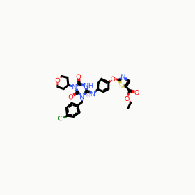 CCOC(=O)c1cnc(OC2=CCC(/N=c3\[nH]c(=O)n(C4CCOCC4)c(=O)n3Cc3ccc(Cl)cc3)C=C2)s1